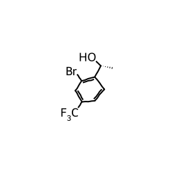 C[C@@H](O)c1ccc(C(F)(F)F)cc1Br